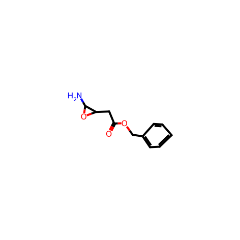 NC1OC1CC(=O)OCc1ccccc1